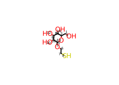 OCC1O[C@@H](OCCS)[C@@H](O)C(O)[C@@H]1O